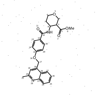 COC(=O)C1COCCC1NC(=O)c1ccc(OCc2cc(C)nc3ccccc23)cc1